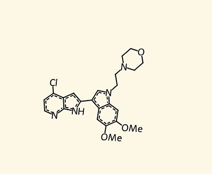 COc1cc2c(-c3cc4c(Cl)ccnc4[nH]3)cn(CCN3CCOCC3)c2cc1OC